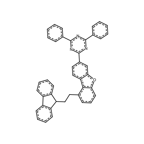 c1ccc(-c2nc(-c3ccccc3)nc(-c3ccc4c(c3)oc3cccc(CCC5c6ccccc6-c6ccccc65)c34)n2)cc1